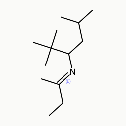 CC/C(C)=N/C(CC(C)C)C(C)(C)C